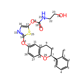 Cc1ccccc1[C@@H]1CCc2cc(Oc3ncc(OC(=O)NCCO)s3)ccc2O1